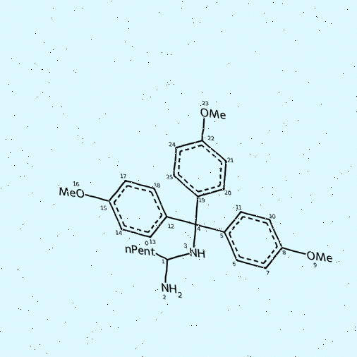 CCCCCC(N)NC(c1ccc(OC)cc1)(c1ccc(OC)cc1)c1ccc(OC)cc1